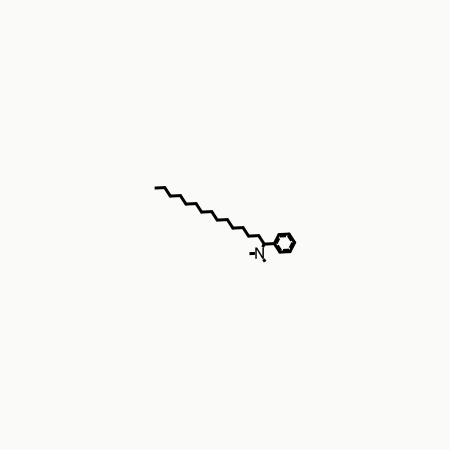 CCCCCCCCCCCCCCC(c1ccccc1)N(C)C